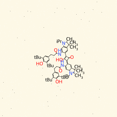 CC(C)N1c2cc(NC(=O)CCc3cc(C(C)(C)C)c(O)c(C(C)(C)C)c3)c(C3=C(O)/C(=c4/cc5c(cc4NC(=O)CCc4cc(C(C)(C)C)c(O)c(C(C)(C)C)c4)=[N+](C(C)C)C(C)C5(C)C)C3=O)cc2C(C)(C)C1C